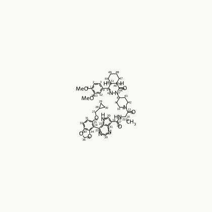 COc1ccc(C2=NN(C3CCN(C(=O)[C@H](C)NC(=O)c4c[nH]c5c(-c6c(OCC7CC7)ccc7c6OCO7)ncnc45)CC3)C(=O)[C@@H]3CCCC[C@H]23)cc1OC